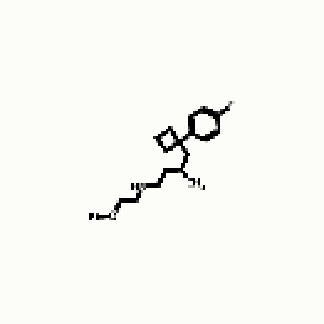 CCOCCNCCC(C)CC1(c2ccc(F)cc2)CCC1